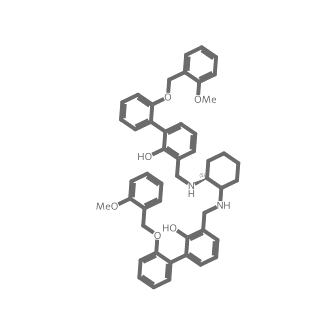 COc1ccccc1COc1ccccc1-c1cccc(CNC2CCCC[C@@H]2NCc2cccc(-c3ccccc3OCc3ccccc3OC)c2O)c1O